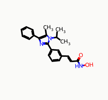 Cc1c(-c2ccccc2)nc(-c2cccc(C=CC(=O)NO)c2)n1C(C)C